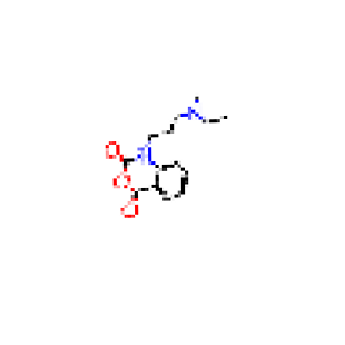 CCN(C)CCCn1c(=O)oc(=O)c2ccccc21